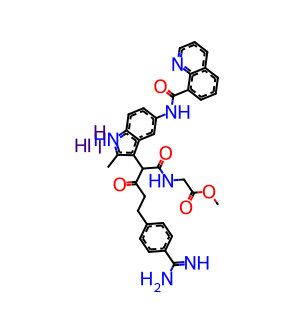 COC(=O)CNC(=O)C(C(=O)CCc1ccc(C(=N)N)cc1)c1c(C)[nH]c2ccc(NC(=O)c3cccc4cccnc34)cc12.I.I